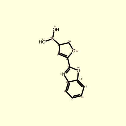 OB(O)C1C=C(c2nc3ccccc3o2)OC1